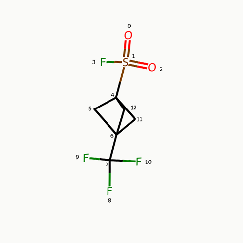 O=S(=O)(F)C12CC(C(F)(F)F)(C1)C2